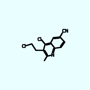 Cc1nc2ccc(C#N)cc2c(Cl)c1CCCl